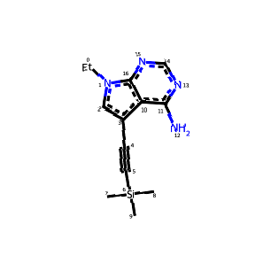 CCn1cc(C#C[Si](C)(C)C)c2c(N)ncnc21